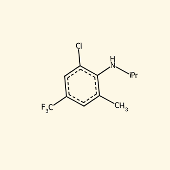 Cc1cc(C(F)(F)F)cc(Cl)c1NC(C)C